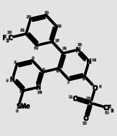 CSc1nccc(-c2cc(OS(=O)(=O)C(F)(F)F)nnc2-c2cccc(C(F)(F)F)c2)n1